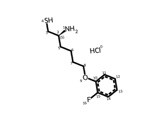 Cl.N[C@H](CS)CCCCOc1ccccc1F